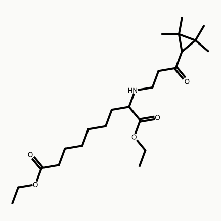 CCOC(=O)CCCCCCC(NCCC(=O)C1C(C)(C)C1(C)C)C(=O)OCC